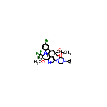 COC(C)c1ncc(N2CCN(C3CC3)CC2)cc1-c1c(CC(C)(C)COC(C)=O)c2cc(Br)ccc2n1CC(F)(F)F